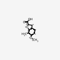 COc1ccc2c(c1C)OC(C(=O)O)C2